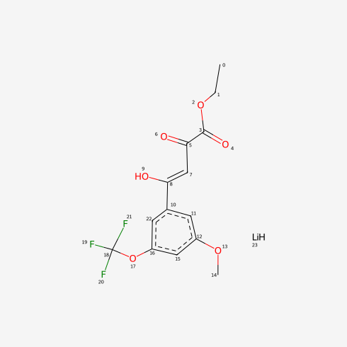 CCOC(=O)C(=O)C=C(O)c1cc(OC)cc(OC(F)(F)F)c1.[LiH]